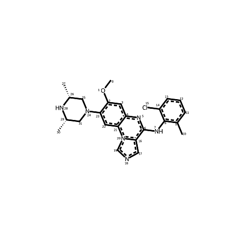 COc1cc2nc(Nc3c(C)cccc3Cl)c3cncn3c2cc1N1C[C@@H](C)N[C@@H](C)C1